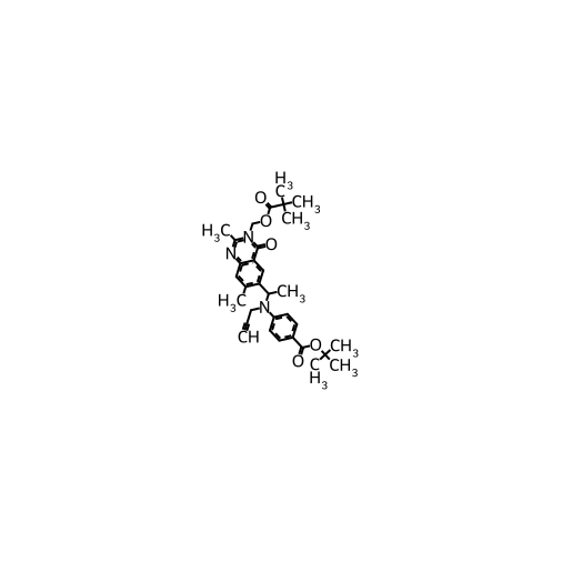 C#CCN(c1ccc(C(=O)OC(C)(C)C)cc1)C(C)c1cc2c(=O)n(COC(=O)C(C)(C)C)c(C)nc2cc1C